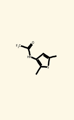 Cc1cc(NC(=O)C(F)(F)F)c(C)s1